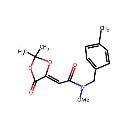 CON(Cc1ccc(C)cc1)C(=O)/C=C1\OC(C)(C)OC1=O